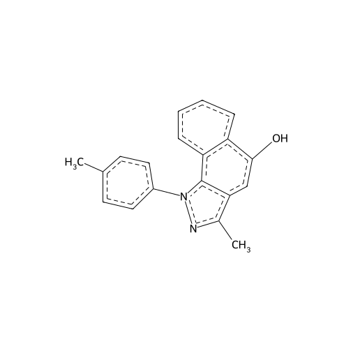 Cc1ccc(-n2nc(C)c3cc(O)c4ccccc4c32)cc1